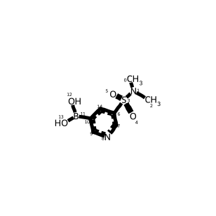 CN(C)S(=O)(=O)c1cncc(B(O)O)c1